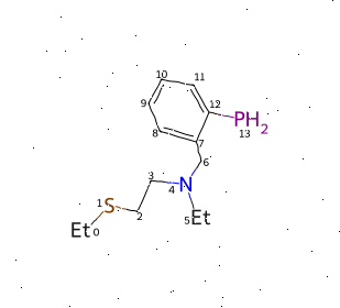 CCSCCN(CC)Cc1ccccc1P